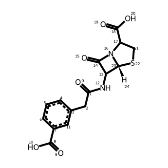 O=C(Cc1cccc(C(=O)O)c1)NC1C(=O)N2C(C(=O)O)CS[C@H]12